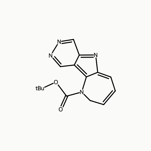 CC(C)(C)OC(=O)N1CC=CC=C2N=c3cnncc3=C21